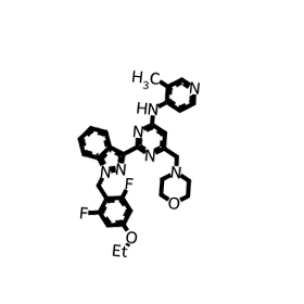 CCOc1cc(F)c(Cn2nc(-c3nc(CN4CCOCC4)cc(Nc4ccncc4C)n3)c3ccccc32)c(F)c1